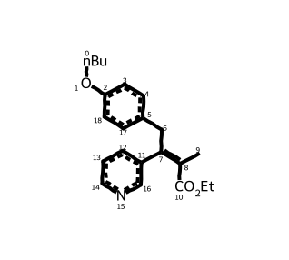 CCCCOc1ccc(C/C(=C(\C)C(=O)OCC)c2cccnc2)cc1